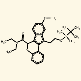 CCN(CC)C(=O)C1Sc2ccccc2-c2c1c1ccc(OC)cc1n2CCO[Si](C)(C)C(C)(C)C